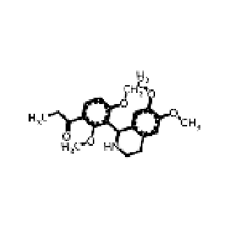 CCC(=O)c1ccc(OC)c(C2NCCc3cc(OC)c(OC)cc32)c1OC